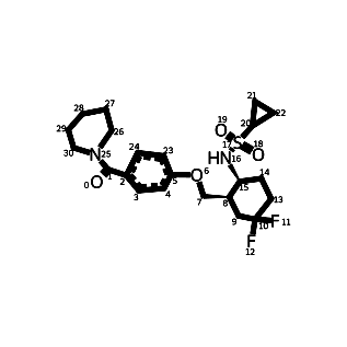 O=C(c1ccc(OC[C@@H]2CC(F)(F)CC[C@@H]2NS(=O)(=O)C2CC2)cc1)N1CCCCC1